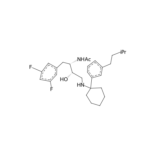 CC(=O)N[C@@H](Cc1cc(F)cc(F)c1)[C@@H](O)CNC1(c2cccc(CCC(C)C)c2)CCCCC1